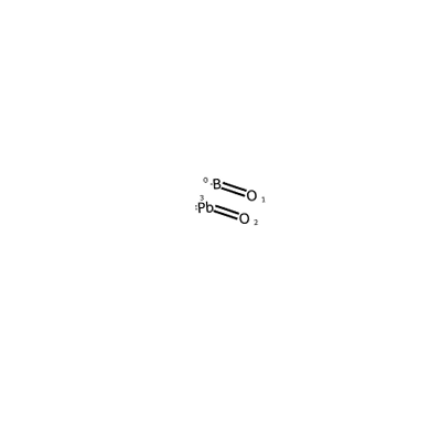 [B]=O.[O]=[Pb]